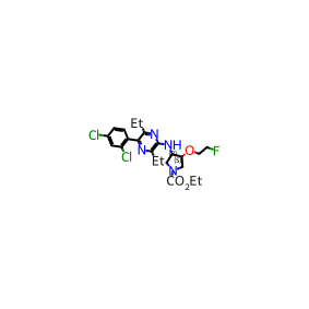 CCOC(=O)N1C[C@H](OCCF)[C@H](Nc2nc(CC)c(-c3ccc(Cl)cc3Cl)nc2CC)C1